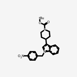 CC(C)(C)OC(=O)N1CCC(c2cn(Cc3ccc([N+](=O)[O-])cc3)c3ccccc23)CC1